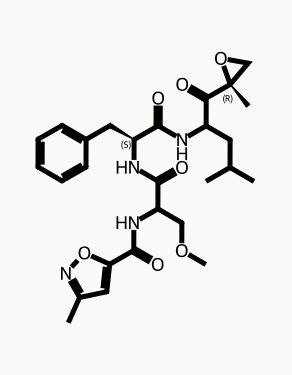 COCC(NC(=O)c1cc(C)no1)C(=O)N[C@@H](Cc1ccccc1)C(=O)NC(CC(C)C)C(=O)[C@@]1(C)CO1